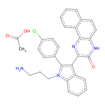 CC(=O)O.NCCCn1c(-c2ccc(Cl)cc2)c(-c2nc3c(ccc4ccccc43)[nH]c2=O)c2ccccc21